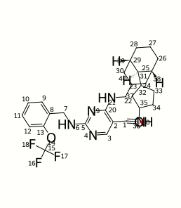 N#Cc1cnc(NCc2ccccc2OC(F)(F)F)nc1NCC1C[C@H]2CCC[C@@H](C1)[C@@H]2C1CCC(O)C1